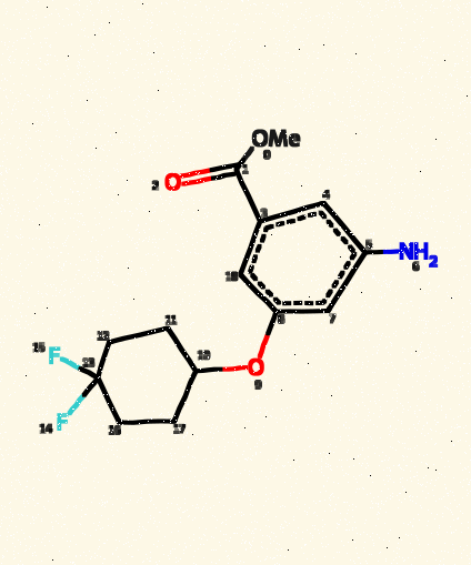 COC(=O)c1cc(N)cc(OC2CCC(F)(F)CC2)c1